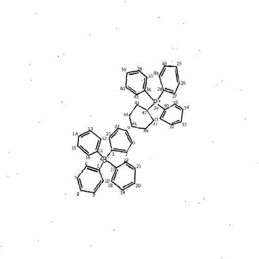 c1ccc([B-](c2ccccc2)(c2ccccc2)c2ccccc2)cc1.c1ccc([P+](c2ccccc2)(c2ccccc2)C2CCCCC2)cc1